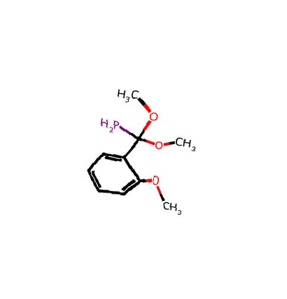 COc1ccccc1C(P)(OC)OC